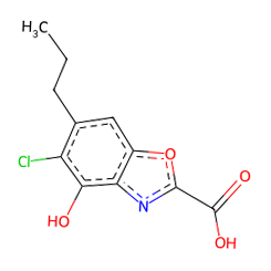 CCCc1cc2oc(C(=O)O)nc2c(O)c1Cl